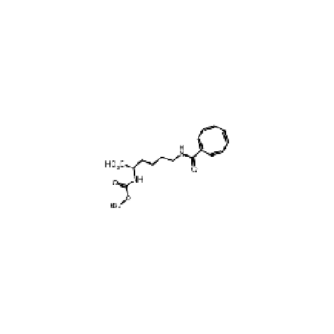 CC(C)(C)OC(=O)N[C@H](CCCCNC(=O)C1=C/C=C\C=C/C=C\1)C(=O)O